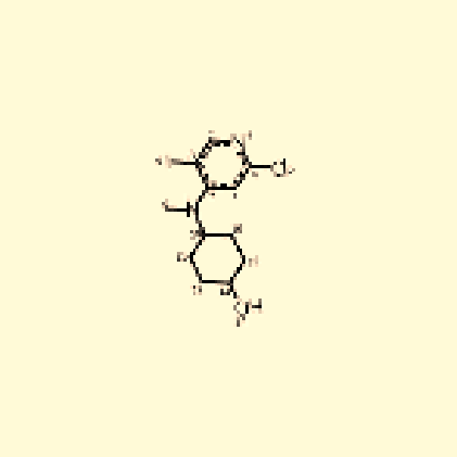 CN(c1cc(Cl)ncc1I)C1CCC(O)CC1